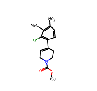 CNc1c([N+](=O)[O-])ccc(C2=CCN(C(=O)OC(C)(C)C)CC2)c1Cl